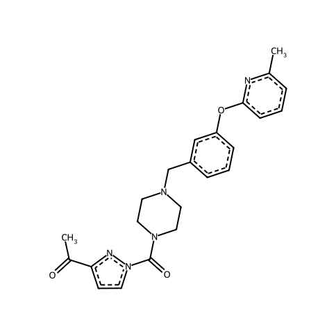 CC(=O)c1ccn(C(=O)N2CCN(Cc3cccc(Oc4cccc(C)n4)c3)CC2)n1